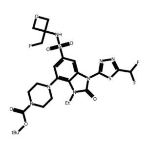 CCn1c(=O)n(-c2nnc(C(F)F)s2)c2cc(S(=O)(=O)NC3(CF)COC3)cc(N3CCN(C(=O)OC(C)(C)C)CC3)c21